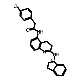 O=C(Cc1ccc(Cl)cc1)Nc1cccc2c1CCC(N[C@@H]1CCc3ccccc31)=N2